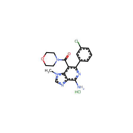 Cl.Cn1cnc2c(N)nc(-c3cccc(Cl)c3)c(C(=O)N3CCOCC3)c21